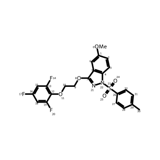 COc1ccc2c(c1)c(OCCOc1c(F)cc(F)cc1F)nn2S(=O)(=O)c1ccc(C)cc1